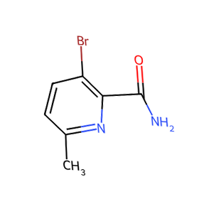 Cc1ccc(Br)c(C(N)=O)n1